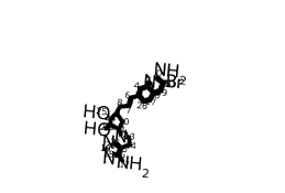 Nc1nc2cc(/C=C/CC3CC(N4CCc5c(N)ncnc54)C(O)C3O)ccc2cc1Br